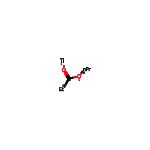 CCCOC(=O)CC.[Ti]